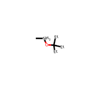 CCC(CC)(CC)O[SiH2]C